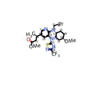 COC(=O)C[C@@H](C)c1cnc(N(CC(C)C)[C@H]2CC[C@@H](OC)CC2)c(Nc2nc(C(F)(F)F)ns2)c1